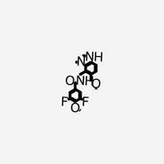 COCc1ccc2c(c1CNC(=O)c1cc(F)c(OC)c(F)c1)N(C)CN2